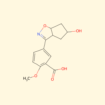 COc1ccc(C2=NOC3CC(O)CC23)cc1C(=O)O